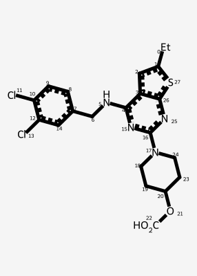 CCc1cc2c(NCc3ccc(Cl)c(Cl)c3)nc(N3CCC(OC(=O)O)CC3)nc2s1